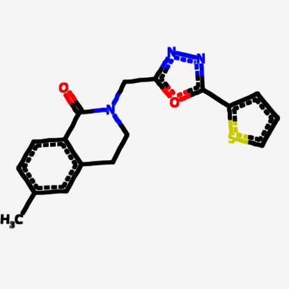 Cc1ccc2c(c1)CCN(Cc1nnc(-c3cccs3)o1)C2=O